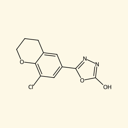 Oc1nnc(-c2cc(Cl)c3c(c2)CCCO3)o1